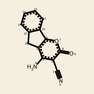 N#Cc1c(N)c2c(oc1=O)-c1ccccc1C2